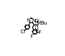 CC(C)(C)[S+]([O-])NC(Cc1cc(F)cc(F)c1)c1nccnc1-c1ccc(Cl)cc1